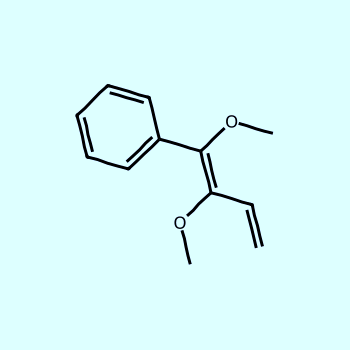 C=CC(OC)=C(OC)c1ccccc1